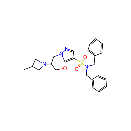 CC1CN(C2COc3c(S(=O)(=O)N(Cc4ccccc4)Cc4ccccc4)cnn3C2)C1